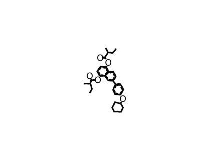 CCC(C)C(=O)Oc1ccc(OC(=O)C(C)CC)c2cc(-c3ccc(OC4CCCCC4)cc3)ccc12